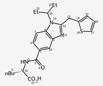 CCCC[C@H](NC(=O)c1ccc2c(c1)nc(Cc1cccs1)n2C(CC)CC)C(=O)O